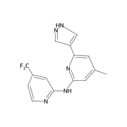 Cc1cc(Nc2cc(C(F)(F)F)ccn2)nc(-c2cn[nH]c2)c1